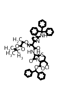 C=C(ON=C(C(=O)NC1C(=O)N2C(C(=O)OC(c3ccccc3)c3ccccc3)=C(CCl)CS[C@@H]12)c1csc(NC(c2ccccc2)(c2ccccc2)c2ccccc2)n1)C(=O)OC(C)(C)C